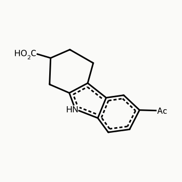 CC(=O)c1ccc2[nH]c3c(c2c1)CCC(C(=O)O)C3